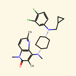 Cn1c(=O)c(C#N)c(N(C)[C@H]2CC[C@@H](N(CC3CC3)c3ccc(F)c(F)c3)CC2)c2nc(C#N)ccc21